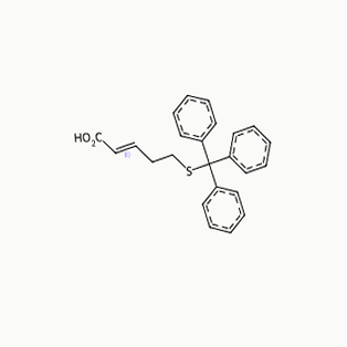 O=C(O)/C=C/CCSC(c1ccccc1)(c1ccccc1)c1ccccc1